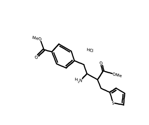 COC(=O)c1ccc(CC(N)C(Cc2cccs2)C(=O)OC)cc1.Cl